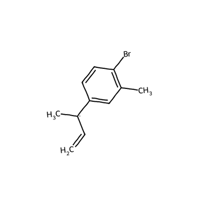 C=C[C](C)c1ccc(Br)c(C)c1